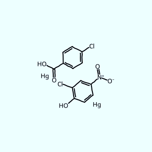 O=C(O)c1ccc(Cl)cc1.O=[N+]([O-])c1ccc(O)c(Cl)c1.[Hg].[Hg]